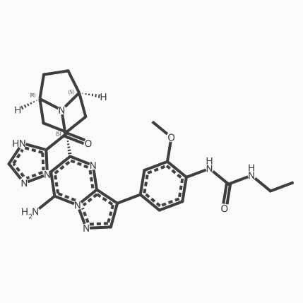 CCNC(=O)Nc1ccc(-c2cnn3c(N)cc([C@@H]4C[C@H]5CC[C@@H](C4)N5C(=O)c4nnc[nH]4)nc23)cc1OC